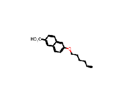 C=CCCCCOc1ccc2cc(C(=O)O)ccc2c1